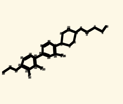 CCCOCC1CCC(c2ccc(-c3ccc(CCC)c(F)c3F)cc2F)CO1